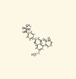 CCc1cc(-c2ccc[nH]c2=O)c2ncc(-c3ccc(NS(C)(=O)=O)cc3)nc2c1